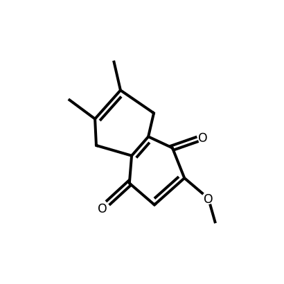 COC1=CC(=O)C2=C(CC(C)=C(C)C2)C1=O